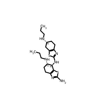 CCCN[C@@H]1CCc2nc(N[C@H]3c4sc(N)nc4CC[C@@H]3NCCC)sc2C1